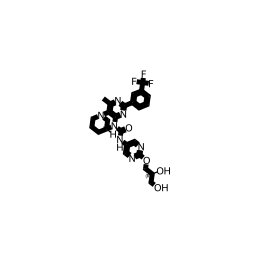 Cc1nc(-c2cccc(C(F)(F)F)c2)nc2c1N1CCC[C@@H](C1)N2C(=O)Nc1cnc(OC[C@H](O)CO)nc1